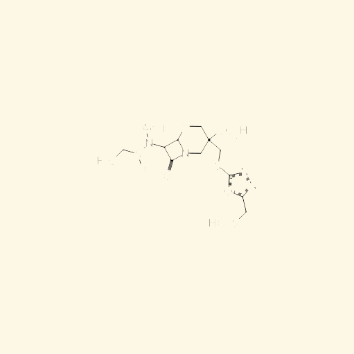 CC(=O)N(C1C(=O)N2CC(CSc3nnc(CS(=O)(=O)O)o3)(C(=O)O)CS[C@H]12)[S+]([O-])CC(F)(F)F